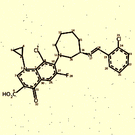 O=C(O)c1cn(C2CC2)c2c(Cl)c(N3CCCC[C@@H](/N=C/c4ccccc4Cl)C3)c(F)cc2c1=O